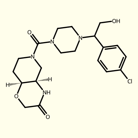 O=C1CO[C@H]2CCN(C(=O)N3CCN(C(CO)c4ccc(Cl)cc4)CC3)C[C@H]2N1